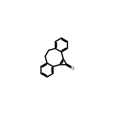 O=c1c2c1-c1ccccc1CCc1ccccc1-2